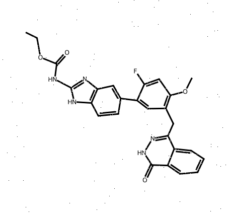 CCOC(=O)Nc1nc2cc(-c3cc(Cc4n[nH]c(=O)c5ccccc45)c(OC)cc3F)ccc2[nH]1